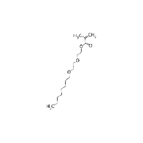 C=C(C)C(=O)OCCOCCOCCCCCCCC